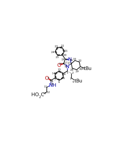 CC(C)(C)CC[C@H](c1ccc(C(=O)NCCC(=O)O)cc1)N1C(=O)C(c2ccccc2)=NC12CCC(C(C)(C)C)CC2